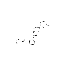 CC1CN(c2cnc3nc(-c4cc(NC(=O)N5CCCC5)ccc4F)cn3n2)CCO1